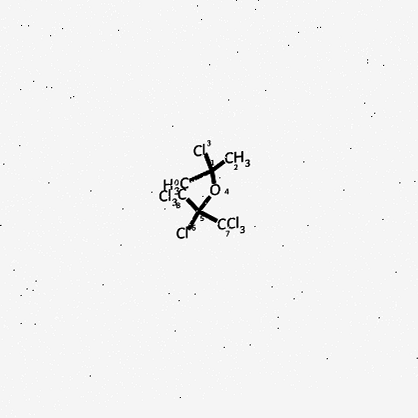 CC(C)(Cl)OC(Cl)(C(Cl)(Cl)Cl)C(Cl)(Cl)Cl